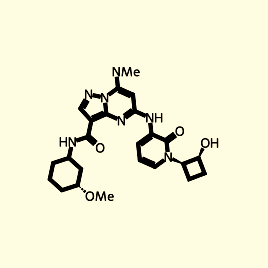 CNc1cc(Nc2cccn([C@@H]3CC[C@@H]3O)c2=O)nc2c(C(=O)NC3CCC[C@@H](OC)C3)cnn12